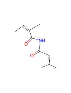 CC=C(C)C(=O)NC(=O)C=C(C)C